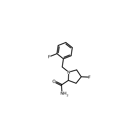 NC(=O)C1CC(F)CN1Cc1ccccc1F